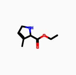 CCOC(=O)C1NCC=C1C